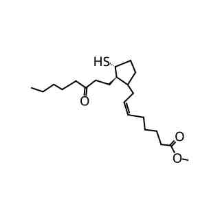 CCCCCC(=O)CC[C@@H]1C(C/C=C\CCCCC(=O)OC)CC[C@H]1S